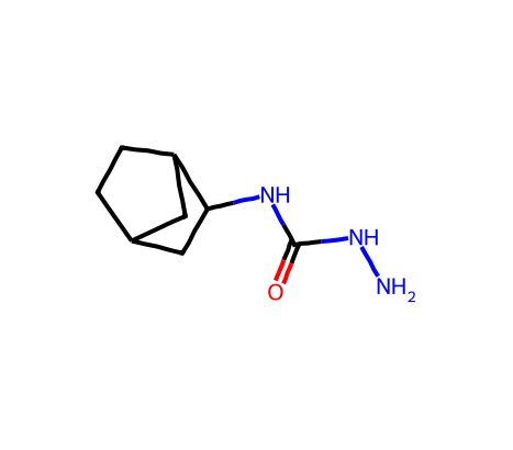 NNC(=O)NC1CC2CCC1C2